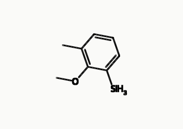 COc1c(C)cccc1[SiH3]